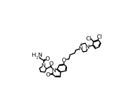 NCC(=O)N1CCCC1C(=O)n1c(=O)ccc2ccc(OCCCCN3CCN(c4cccc(Cl)c4Cl)CC3)cc21